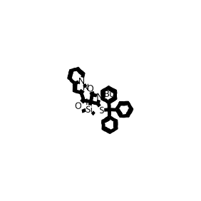 C[SiH](C)C1(C(=O)c2cc3ccccn3n2)C(=O)N(C(C)(C)C)C1SC(c1ccccc1)(c1ccccc1)c1ccccc1